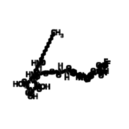 CCCCCCCCCCCCCCCC(=O)NCCCCC(NC(=O)CN1CCN(CC(=O)O)CCN(CC(=O)O)CCN(CC(=O)O)CC1)C(=O)NCCOCCOCCC(=O)NCCNC(=O)c1ccc(-c2cn(Cc3cccc4c3CN(C(=O)C[C@@H]3C[C@@H](C(=O)N5CC(F)(F)C[C@H]5C#N)NC3=O)C4)nn2)cc1